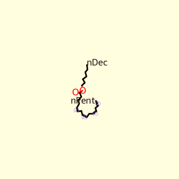 CCCCC/C=C\C/C=C\C/C=C\C/C=C\CCCC(=O)OCCCCCCCCCCCCCCCCC